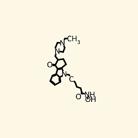 CCN1CCN(CC2CCc3c(c4ccccc4n3CCCCCC(=O)NO)C2=O)CC1